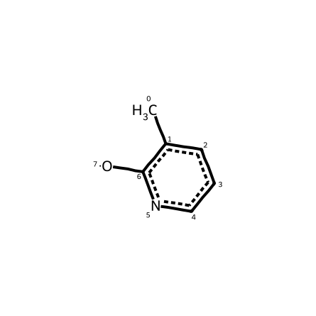 Cc1cccnc1[O]